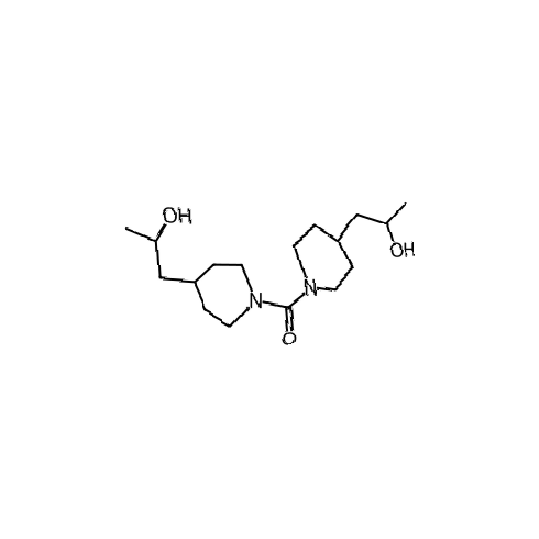 CC(O)CC1CCN(C(=O)N2CCC(CC(C)O)CC2)CC1